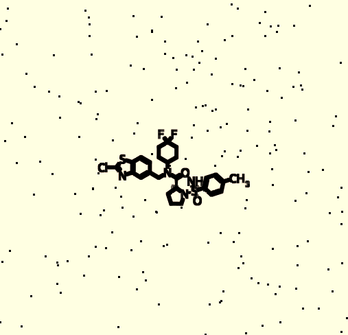 Cc1ccc([S@](=N)(=O)N2CCC[C@H]2C(=O)N(Cc2ccc3sc(Cl)nc3c2)C2CCC(F)(F)CC2)cc1